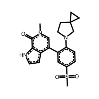 Cn1cc(-c2cc(S(C)(=O)=O)ccc2N2CCC3(CC3)C2)c2cc[nH]c2c1=O